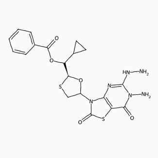 NNc1nc2c(sc(=O)n2C2CS[C@@H](C(OC(=O)c3ccccc3)C3CC3)O2)c(=O)n1N